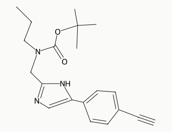 C#Cc1ccc(-c2cnc(CN(CCC)C(=O)OC(C)(C)C)[nH]2)cc1